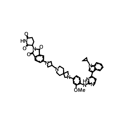 COc1cc(N2CC3(CCN(C4CN(c5ccc6c(c5)C(=O)N(C5CCC(=O)NC5=O)C6=O)C4)CC3)C2)ccc1Nc1nccc(-c2cn(C3CC3)c3ccccc23)n1